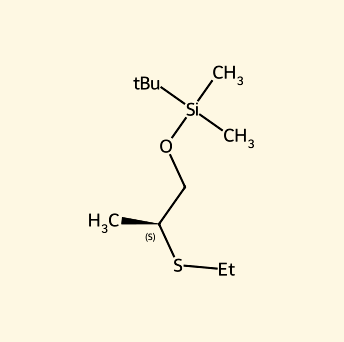 CCS[C@@H](C)CO[Si](C)(C)C(C)(C)C